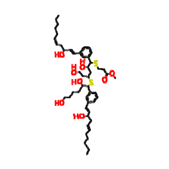 CCCCCC=CCC(O)C=Cc1cccc(C(SC(CCO)CC(O)C(SCCC(=O)OC)c2cccc(/C=C/C(O)C/C=C\CCCCC)c2)C(O)CCCCO)c1